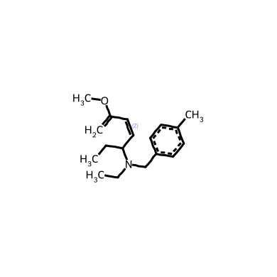 C=C(/C=C\C(CC)N(CC)Cc1ccc(C)cc1)OC